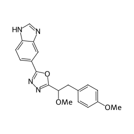 COc1ccc(CC(OC)c2nnc(-c3ccc4[nH]cnc4c3)o2)cc1